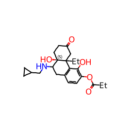 CCC(=O)Oc1ccc2c(c1O)C1(CC)CC(=O)CC[C@@]1(O)C(NCC1CC1)C2